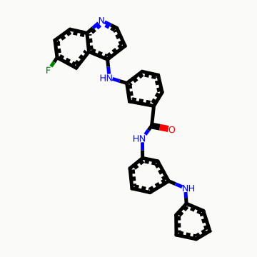 O=C(Nc1cccc(Nc2ccccc2)c1)c1cccc(Nc2ccnc3ccc(F)cc23)c1